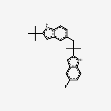 CC(C)(C)c1cc2cc(CC(C)(C)c3cc4cc(F)ccc4[nH]3)ccc2[nH]1